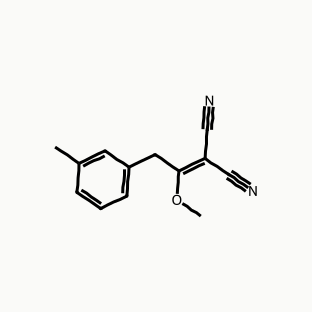 COC(Cc1cccc(C)c1)=C(C#N)C#N